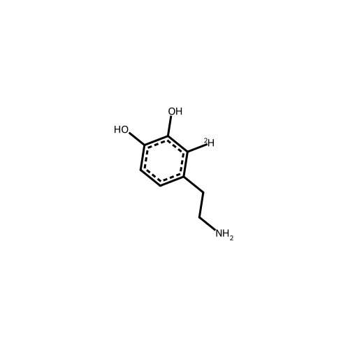 [2H]c1c(CCN)ccc(O)c1O